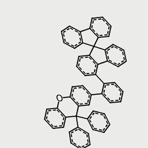 c1ccc(C2(c3ccccc3)c3ccccc3Oc3ccc(-c4ccccc4-c4cccc5c4-c4ccccc4C54c5ccccc5-c5ccccc54)cc32)cc1